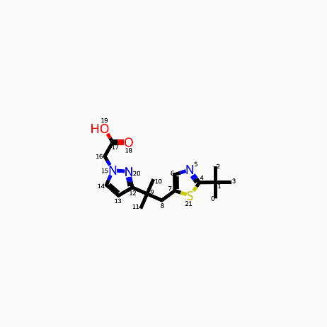 CC(C)(C)c1ncc(CC(C)(C)c2ccn(CC(=O)O)n2)s1